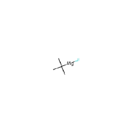 C[C](C)(C)[Mg][F]